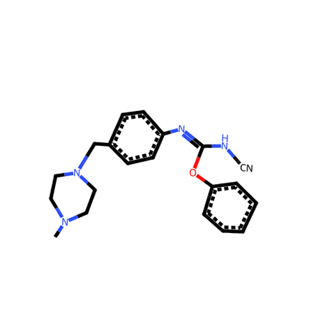 CN1CCN(Cc2ccc(N=C(NC#N)Oc3ccccc3)cc2)CC1